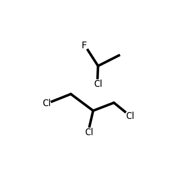 CC(F)Cl.ClCC(Cl)CCl